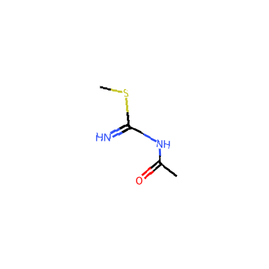 CSC(=N)NC(C)=O